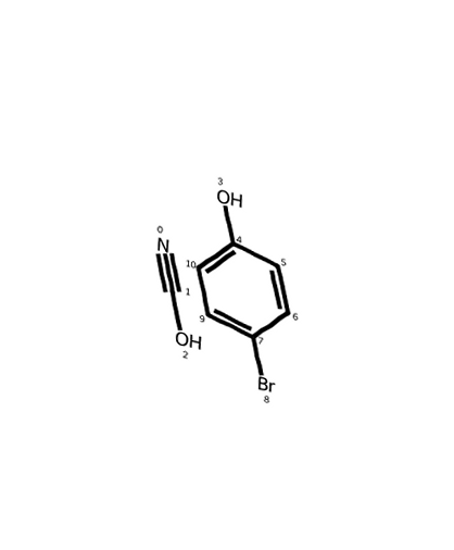 N#CO.Oc1ccc(Br)cc1